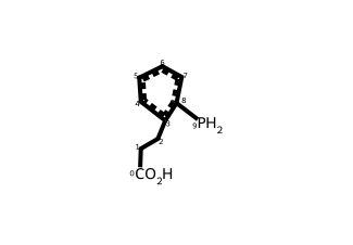 O=C(O)CCc1ccccc1P